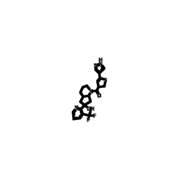 O=C(C1C=C(c2cn[nH]c2)SC1)N1CCCC2CC(O)(c3ncccc3C(F)(F)F)CC21